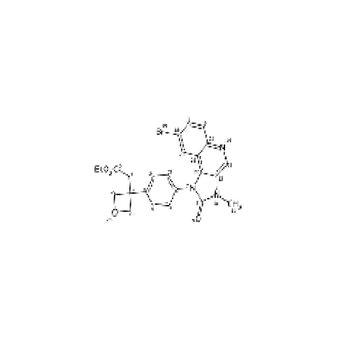 CCOC(=O)CC1(c2ccc(-n3c(=O)n(C)c4cnc5ccc(Br)cc5c43)cc2)COC1